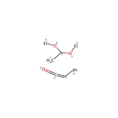 CC(C)C=C=O.CCOC(C)OCC